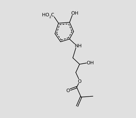 C=C(C)C(=O)OCC(O)CNc1ccc(C(=O)O)c(O)c1